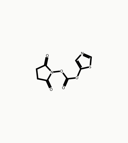 O=C(Oc1cncs1)ON1C(=O)CCC1=O